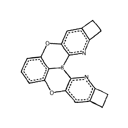 c1cc2c3c(c1)Oc1cc4c(nc1B3c1nc3c(cc1O2)CC3)CC4